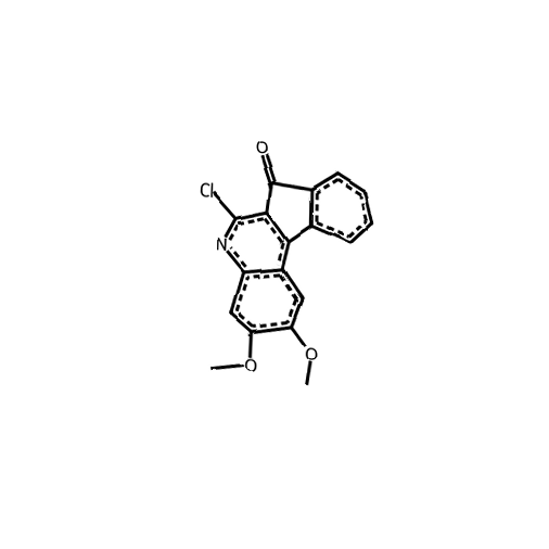 COc1cc2nc(Cl)c3c(c2cc1OC)-c1ccccc1C3=O